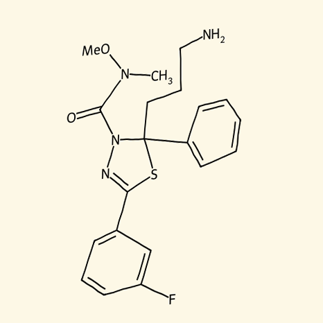 CON(C)C(=O)N1N=C(c2cccc(F)c2)SC1(CCCN)c1ccccc1